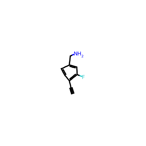 C#Cc1ccc(CN)cc1F